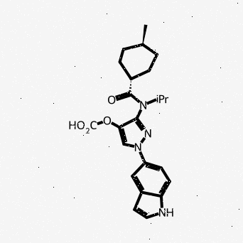 CC(C)N(c1nn(-c2ccc3[nH]ccc3c2)cc1OC(=O)O)C(=O)[C@H]1CC[C@H](C)CC1